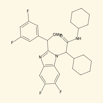 COC(c1cc(F)cc(F)c1)c1nc2cc(F)c(F)cc2n1C(C(=O)NC1CCCCC1)C1CCCCC1